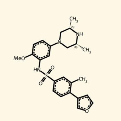 COc1ccc(N2C[C@@H](C)N[C@@H](C)C2)cc1NS(=O)(=O)c1ccc(-c2ccoc2)c(C)c1